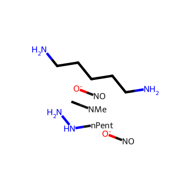 CCCCCNN.CNC.NCCCCCN.O=[NH+][O-].O=[NH+][O-]